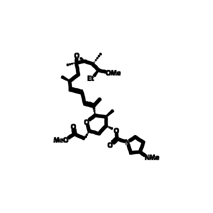 CC[C@H](OC)[C@@H](C)[C@H]1O[C@]1(C)C[C@H](C)/C=C/C=C(\C)[C@H]1O[C@@H](CC(=O)OC)C[C@@H](OC(=O)N2CCC(NC)C2)[C@@H]1C